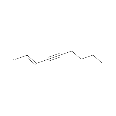 [CH2]C=CC#CCCCC